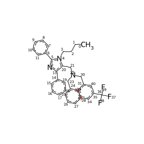 CCCCn1c(-c2ccccc2)nc(-c2ccccc2)c1CN(Cc1ccccc1)Cc1cccc(C(F)(F)F)c1